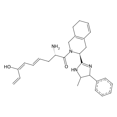 C=C/C(O)=C\C=C\C[C@H](N)C(=O)N1CC2=C(C=CCC2)C[C@H]1C1=NC(c2ccccc2)C(C)N1